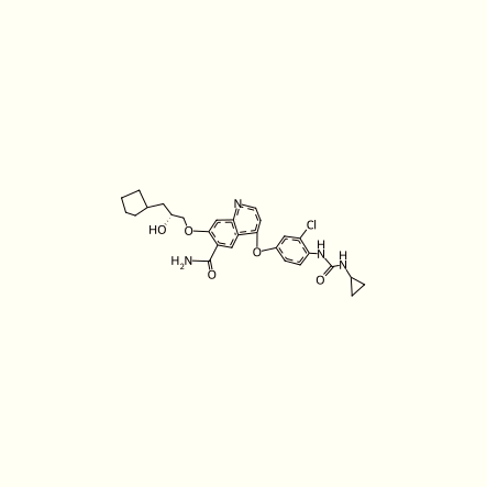 NC(=O)c1cc2c(Oc3ccc(NC(=O)NC4CC4)c(Cl)c3)ccnc2cc1OC[C@H](O)CC1CCCC1